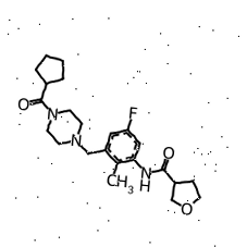 Cc1c(CN2CCN(C(=O)C3CCCC3)CC2)cc(F)cc1NC(=O)C1CCOC1